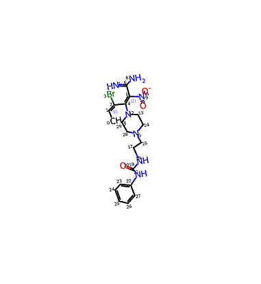 C/C=C(Br)\C(=C(/C(=N)N)[N+](=O)[O-])N1CCN(CCNC(=O)Nc2ccccc2)CC1